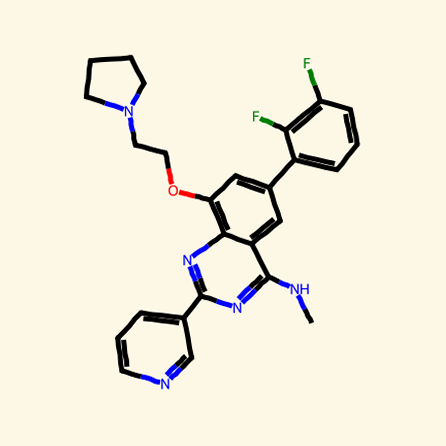 CNc1nc(-c2cccnc2)nc2c(OCCN3CCCC3)cc(-c3cccc(F)c3F)cc12